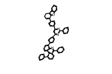 C1=C(c2ccc(-c3cc(-c4ccc(-c5cccc6c5nc(-c5ccccc5)c5cccc(-c7ccccc7)c56)cc4)nc(-c4ccccc4)n3)cc2)c2oc3ccccc3c2CC1